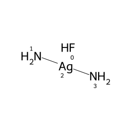 F.[NH2][Ag][NH2]